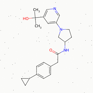 CC(C)(O)c1cncc(N2CCC(NC(=O)Cc3ccc(C4CC4)cc3)C2)c1